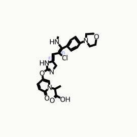 CN/C(=C(Cl)\C=C1/CN=C(Oc2ccc(=O)n(C(C)C(=O)O)c2)N1)c1ccc(N2CCOCC2)cc1